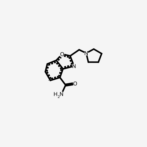 NC(=O)c1[c]ccc2oc(CN3CCCC3)nc12